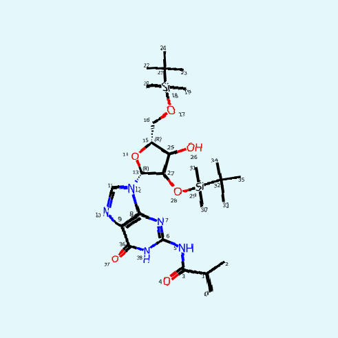 CC(C)C(=O)Nc1nc2c(ncn2[C@@H]2O[C@H](CO[Si](C)(C)C(C)(C)C)C(O)C2O[Si](C)(C)C(C)(C)C)c(=O)[nH]1